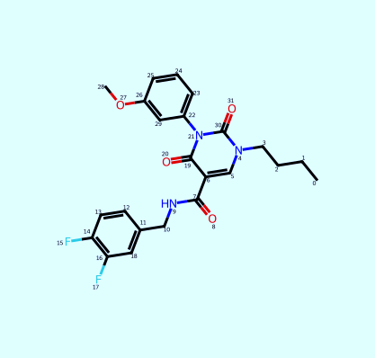 CCCCn1cc(C(=O)NCc2ccc(F)c(F)c2)c(=O)n(-c2cccc(OC)c2)c1=O